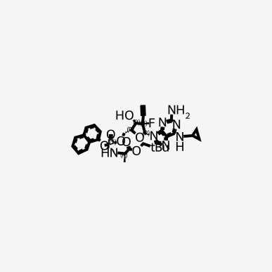 C#C[C@@]1(F)[C@H](O)[C@@H](CO[P@@](=O)(N[C@H](C)C(=O)OCC(C)(C)C)Oc2cccc3ccccc23)O[C@H]1n1cnc2c(NC3CC3)nc(N)nc21